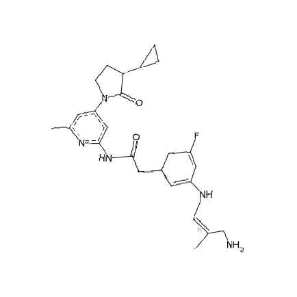 C/C(=C/NC1=CC(CC(=O)Nc2cc(N3CCC(C4CC4)C3=O)cc(C)n2)CC(F)=C1)CN